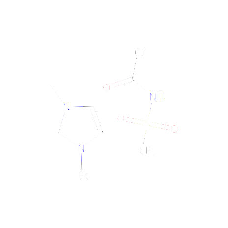 CCN1C=CN(C)C1.O=C(NS(=O)(=O)C(F)(F)F)C(F)(F)F